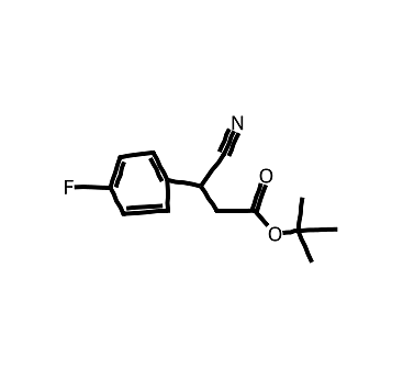 CC(C)(C)OC(=O)CC(C#N)c1ccc(F)cc1